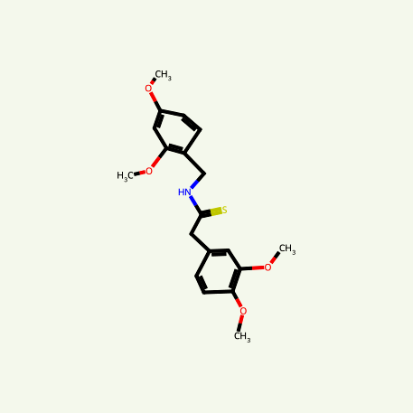 COc1ccc(CNC(=S)Cc2ccc(OC)c(OC)c2)c(OC)c1